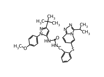 COc1ccc(-n2nc(C(C)(C)C)cc2NC(=O)NCc2ccccc2Sc2ccc3nnc(C(C)C)n3c2)cc1